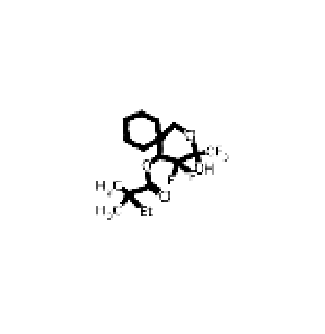 CCC(C)(C)C(=O)OC1C2(CCCCC2)COC(O)(C(F)(F)F)C1(F)F